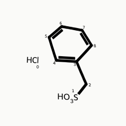 Cl.O=S(=O)(O)Cc1ccccc1